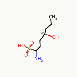 CCC[C@@H](O)CCC(N)S(=O)(=O)O